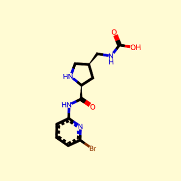 O=C(O)NC[C@@H]1CN[C@H](C(=O)Nc2cccc(Br)n2)C1